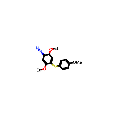 CCOC1=CC(=[N+]=[N-])C(OCC)C=C1Sc1ccc(OC)cc1